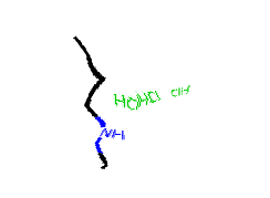 CCCNC.Cl.Cl.Cl